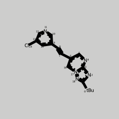 CC(C)(C)c1nc2ncc(C#Cc3cncc(Cl)c3)cn2n1